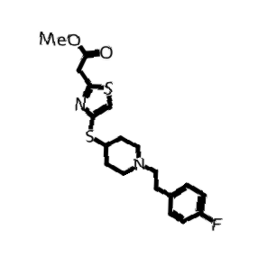 COC(=O)Cc1nc(SC2CCN(CCc3ccc(F)cc3)CC2)cs1